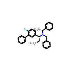 CCOC(=O)C[C@@H](c1ccc(F)c(-c2ccccc2)c1)N(Cc1ccccc1)[C@H](C)c1ccccc1